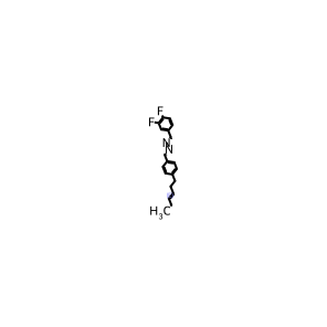 CC/C=C/CCc1ccc(C=NN=Cc2ccc(F)c(F)c2)cc1